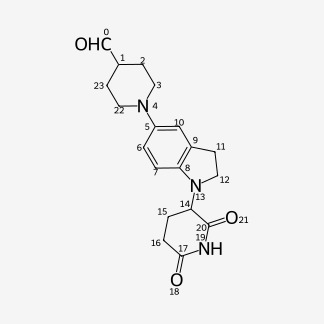 O=CC1CCN(c2ccc3c(c2)CCN3C2CCC(=O)NC2=O)CC1